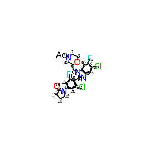 CC(=O)N1CCOC(Cn2c(-c3c(F)cc(N4CCCC4=O)cc3Cl)nc3cc(Cl)c(F)cc32)C1